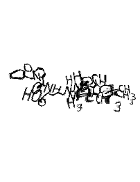 Cc1c(C)c(S(=O)(=O)NC(=N)NCCC[C@H](NC(=O)c2cccc(=O)n2Cc2ccccc2)C(=O)O)c(C)c2c1OC(C)(C)CC2